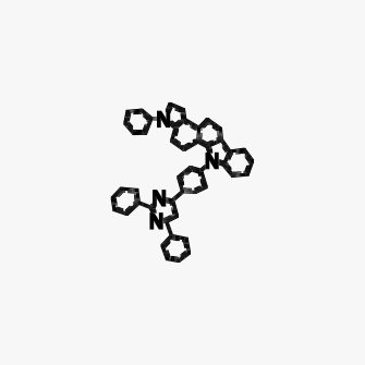 c1ccc(-c2cc(-c3ccc(-n4c5ccccc5c5ccc6c7ccn(-c8ccccc8)c7ccc6c54)cc3)nc(-c3ccccc3)n2)cc1